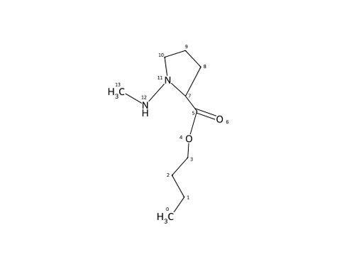 CCCCOC(=O)C1CCCN1NC